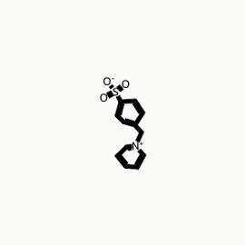 O=S(=O)([O-])c1ccc(C[n+]2ccccc2)cc1